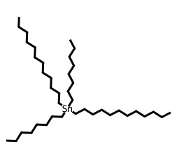 CCCCCCCCCCC[CH2][Sn]([CH2]CCCCCCC)([CH2]CCCCCCC)[CH2]CCCCCCCCCCC